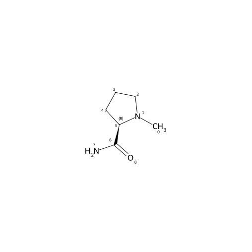 CN1CC[CH][C@@H]1C(N)=O